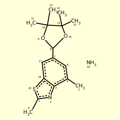 Cc1nc2c(C)cc(C3OC(C)(C)C(C)(C)O3)cc2s1.N